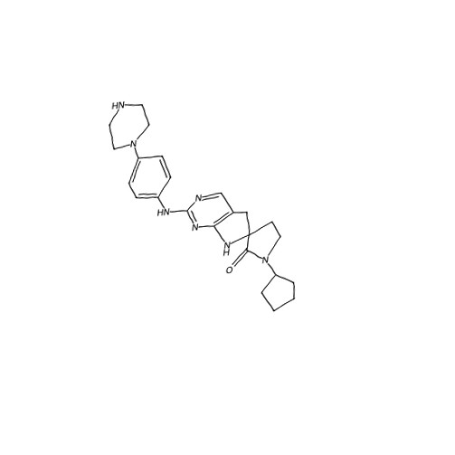 O=C1N(C2CCCC2)CCC12Cc1cnc(Nc3ccc(N4CCNCC4)cc3)nc1N2